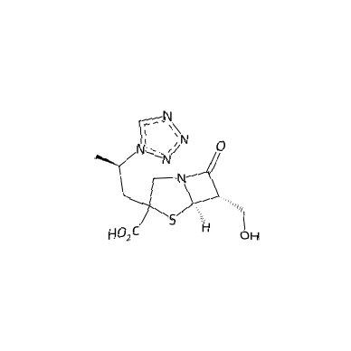 C[C@H](CC1(C(=O)O)CN2C(=O)[C@H](CO)[C@H]2S1)n1cnnn1